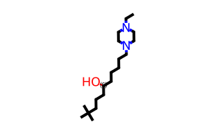 CCN1CCN(CCCCC[C@H](O)CCCC(C)(C)C)CC1